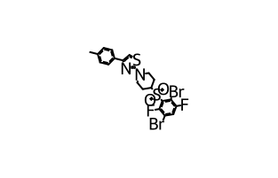 Cc1ccc(-c2csc(N3CCC(S(=O)(=O)c4c(F)c(Br)cc(F)c4Br)CC3)n2)cc1